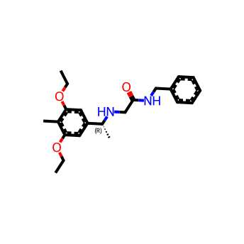 CCOc1cc([C@@H](C)NCC(=O)NCc2ccccc2)cc(OCC)c1C